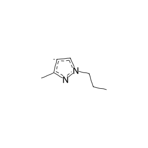 CCCn1c[c]c(C)n1